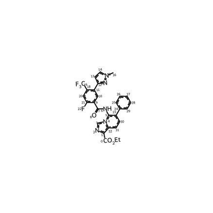 CCOC(=O)c1ncn2c(NC(=O)c3cc(-c4ccn(C)n4)c(C(F)(F)F)cc3F)c(-c3ccccc3)ccc12